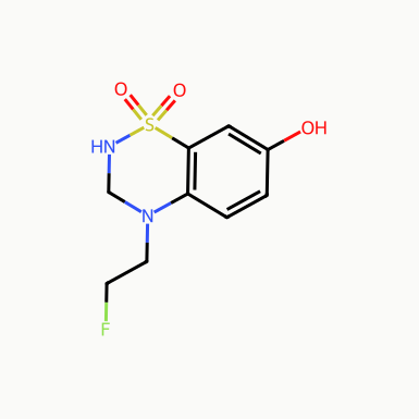 O=S1(=O)NCN(CCF)c2ccc(O)cc21